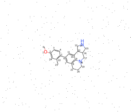 COc1ccc(-c2cc3c4c(c2)C2CNCC2CN4CCC3)c(C)c1